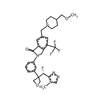 COCC1CCN(Cc2cc3c(c(C(F)(F)F)c2)CN(c2cccc(C4([C@H](F)c5nncn5C)COC4)c2)C3=O)CC1